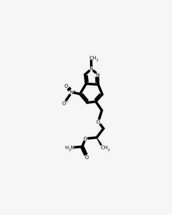 C[C@H](COCc1cc([N+](=O)[O-])c2cn(C)nc2c1)OC(N)=O